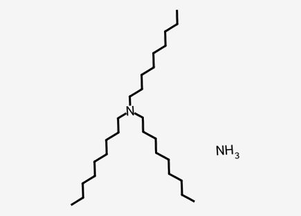 CCCCCCCCCN(CCCCCCCCC)CCCCCCCCC.N